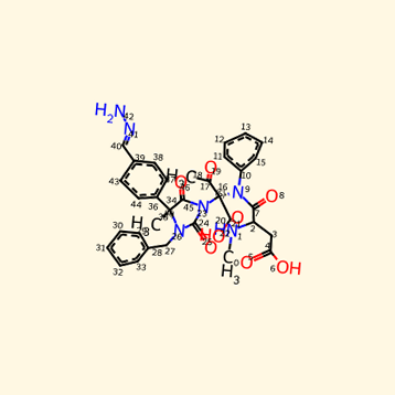 CNC(CC(=O)O)C(=O)N(c1ccccc1)[C@](C(C)=O)(C(=O)O)N1C(=O)N(Cc2ccccc2)[C@](C)(c2ccc(C=NN)cc2)C1=O